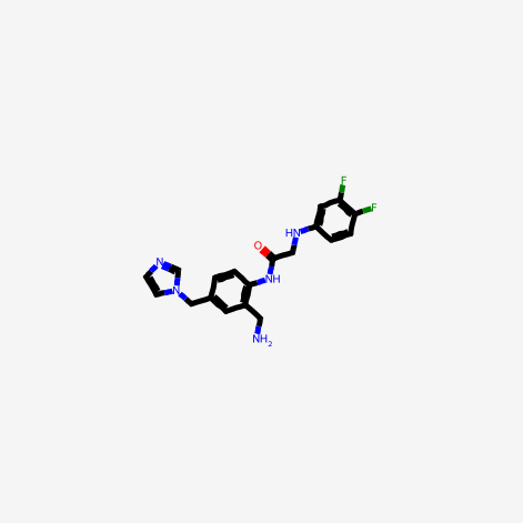 NCc1cc(Cn2ccnc2)ccc1NC(=O)CNc1ccc(F)c(F)c1